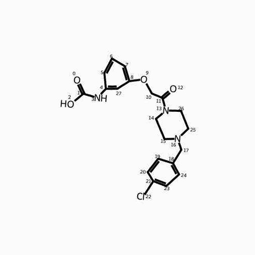 O=C(O)Nc1cccc(OCC(=O)N2CCN(Cc3ccc(Cl)cc3)CC2)c1